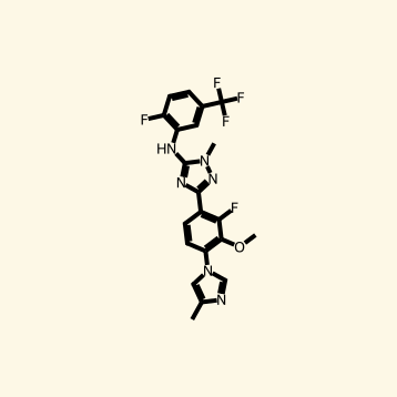 COc1c(-n2cnc(C)c2)ccc(-c2nc(Nc3cc(C(F)(F)F)ccc3F)n(C)n2)c1F